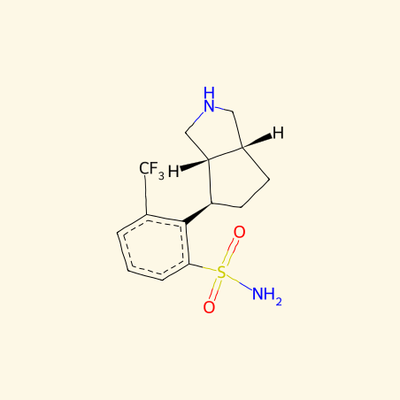 NS(=O)(=O)c1cccc(C(F)(F)F)c1[C@@H]1CC[C@H]2CNC[C@H]21